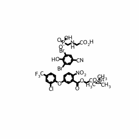 CCOC(=O)COC(=O)c1cc(Oc2ccc(C(F)(F)F)cc2Cl)ccc1[N+](=O)[O-].C[S+](C)C.N#Cc1cc(Br)c(O)c(Br)c1.O=C(O)CNCP(=O)([O-])O